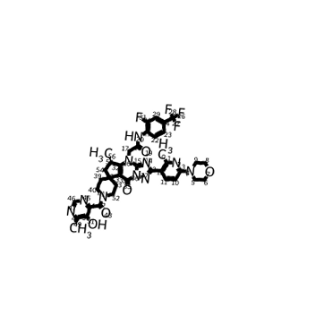 Cc1nc(N2CCOCC2)ccc1-c1nc2n(CC(=O)Nc3ccc(C(F)(F)F)cc3F)c3c(c(=O)n2n1)C1(CCN(C(=O)c2ncnc(C)c2O)CC1)C[C@@H]3C